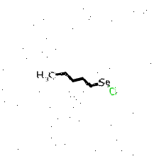 CCCCC[Se]Cl